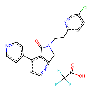 O=C(O)C(F)(F)F.O=C1c2c(-c3ccncc3)ccnc2CN1CCc1ccc(Cl)cn1